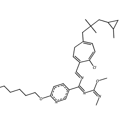 CCCCCCOc1ccc(C(=N/C(=N\C)OC)/N=C/C2=CCC(CC(C)(C)CC3CC3C)=CC=C2Cl)cn1